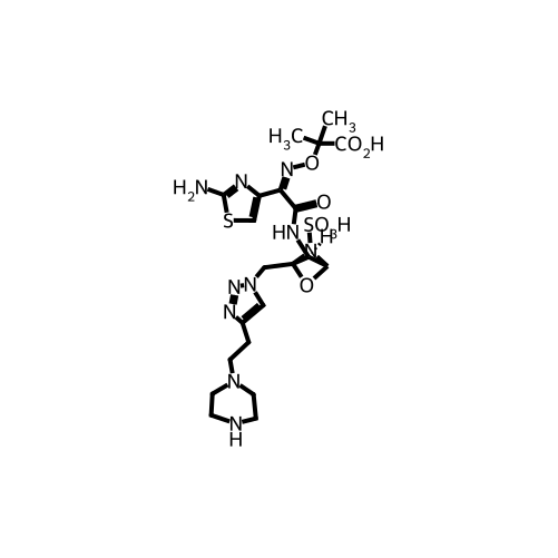 CC(C)(O/N=C(\C(=O)N[C@H]1C2OC1(Cn1cc(CCN3CCNCC3)nn1)N2S(=O)(=O)O)c1csc(N)n1)C(=O)O